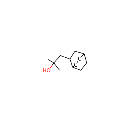 CC(C)(O)CC1CC2CCC1CC2